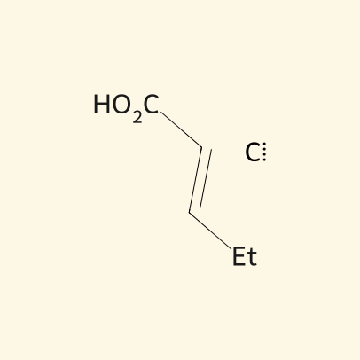 CCC=CC(=O)O.[C]